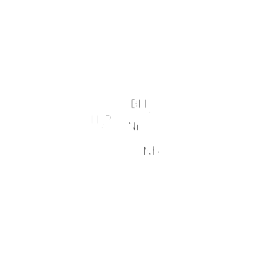 BP.[Nb].[Ni]